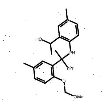 CCCC(C)(Pc1ccc(C)cc1C(C)O)c1cc(C)ccc1OCOC